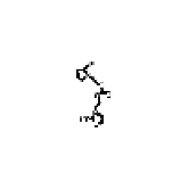 CC(C)C1CCCN1CCOC(=O)OCCN1CCOC1C(C)C